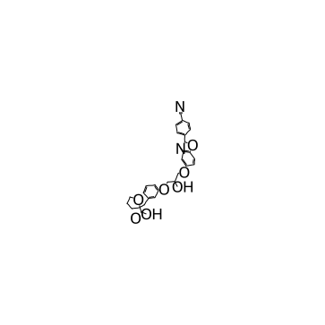 N#Cc1ccc(-c2nc3cc(OCC(O)COc4cccc(CC5(C(=O)O)CCCO5)c4)ccc3o2)cc1